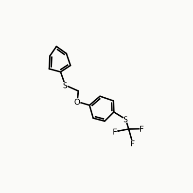 FC(F)(F)Sc1ccc(OCSc2ccccc2)cc1